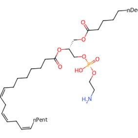 CCCCC/C=C\C/C=C\C/C=C\CCCCCCC(=O)O[C@H](COC(=O)CCCCCCCCCCCCCC)COP(=O)(O)OCCN